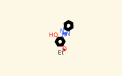 CCOc1ccc(O)c(-n2nc3ccccc3n2)c1